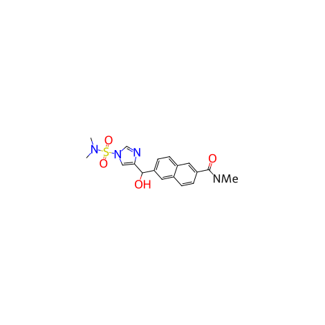 CNC(=O)c1ccc2cc(C(O)c3cn(S(=O)(=O)N(C)C)cn3)ccc2c1